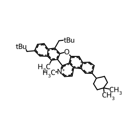 Cc1c2c(c(CC(C)(C)C)c3ccc(CC(C)(C)C)cc13)Oc1cc3ccc(C4CCC(C)(C)CC4)cc3c3cc[n+](C)c-2c13